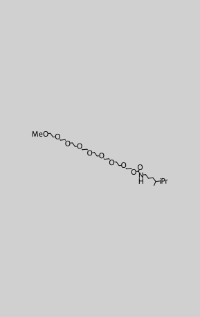 COCCOCCOCCOCCOCCOCCOCCOCCOC(=O)NCCCC(C)C(C)C